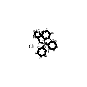 [Cl-].c1ccc([P+](Cc2cscn2)(c2ccccc2)c2ccccc2)cc1